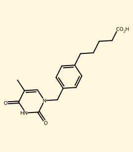 Cc1cn(Cc2ccc(CCCCC(=O)O)cc2)c(=O)[nH]c1=O